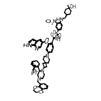 CC(C)c1ccccc1C1CN(Cc2cccc3c2OCCO3)CCN1C1CC2(CCN(c3ccc(C(=O)NS(=O)(=O)c4ccc(NCC5CCC(C)(O)CC5)c([N+](=O)[O-])c4)c(Oc4cnc5[nH]ccc5c4)c3)CC2)C1